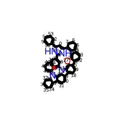 C1=C(c2ccccc2)NC(c2cccc(-n3c4c(ccc5c6ccccc6oc54)c4ccc5c6ccccc6n(-c6ccccc6)c5c43)c2)NC1c1ccccc1